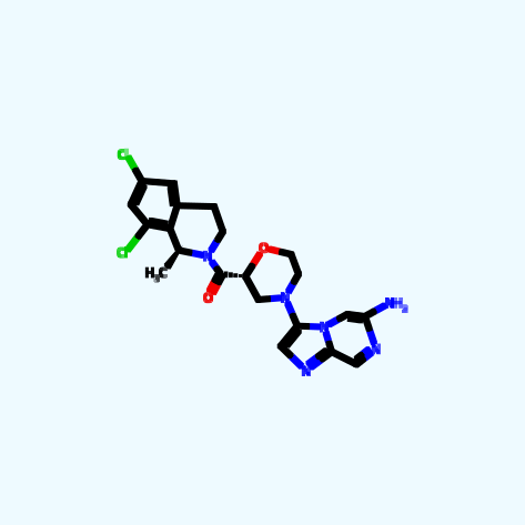 C[C@H]1c2c(Cl)cc(Cl)cc2CCN1C(=O)[C@H]1CN(c2cnc3cnc(N)cn23)CCO1